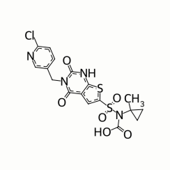 CC1(N(C(=O)O)S(=O)(=O)c2cc3c(=O)n(Cc4ccc(Cl)nc4)c(=O)[nH]c3s2)CC1